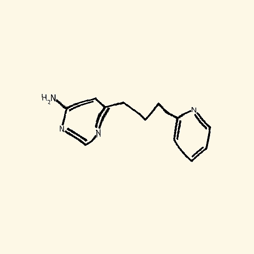 Nc1cc(CCCc2ccccn2)ncn1